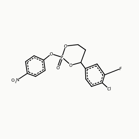 O=[N+]([O-])c1ccc(OP2(=O)OCCC(c3ccc(Cl)c(F)c3)O2)cc1